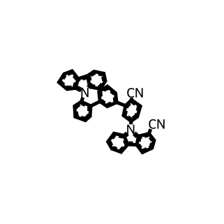 N#Cc1ccc(-n2c3ccccc3c3cccc(C#N)c32)cc1-c1cccc(-c2ccccc2-n2c3ccccc3c3ccccc32)c1